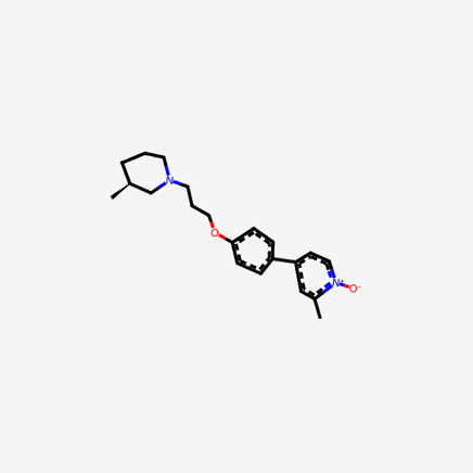 Cc1cc(-c2ccc(OCCCN3CCC[C@H](C)C3)cc2)cc[n+]1[O-]